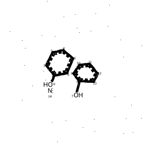 Oc1ccccc1.Oc1ccccc1.[N]